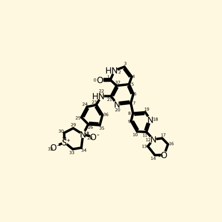 O=c1[nH]ccc2cc(-c3ccc(N4CCOCC4)nc3)nc(Nc3ccc([N+]4([O-])CC[S+]([O-])CC4)cc3)c12